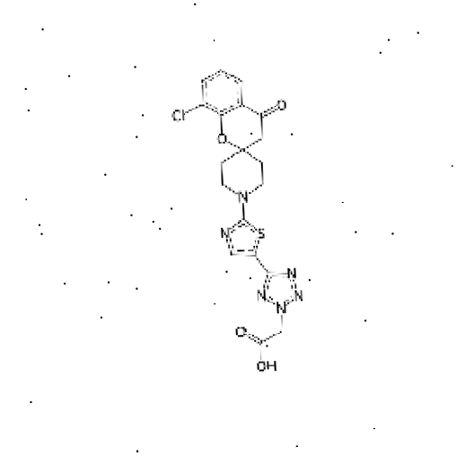 O=C(O)Cn1nnc(-c2cnc(N3CCC4(CC3)CC(=O)c3cccc(Cl)c3O4)s2)n1